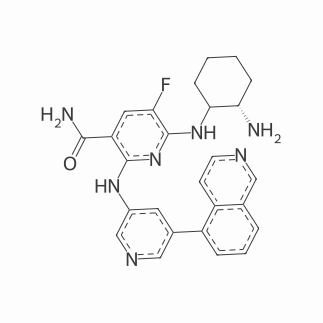 NC(=O)c1cc(F)c(NC2CCCC[C@@H]2N)nc1Nc1cncc(-c2cccc3cnccc23)c1